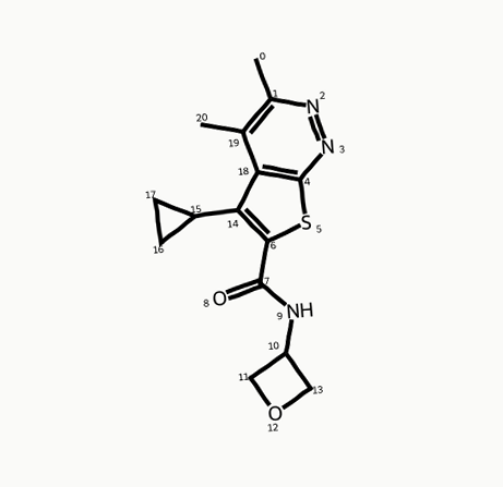 Cc1nnc2sc(C(=O)NC3COC3)c(C3CC3)c2c1C